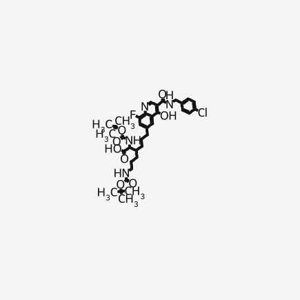 CC(C)(C)OC(=O)NCCCC(CCCc1cc(F)c2ncc(C(=O)NCc3ccc(Cl)cc3)c(O)c2c1)C(NC(=O)OC(C)(C)C)C(=O)O